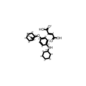 O=C(O)C=CC(=O)O.c1cc(OC2CN3CCC2CC3)ccc1NC1CCCCC1